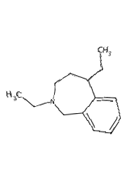 CCC1CCN(CC)Cc2ccccc21